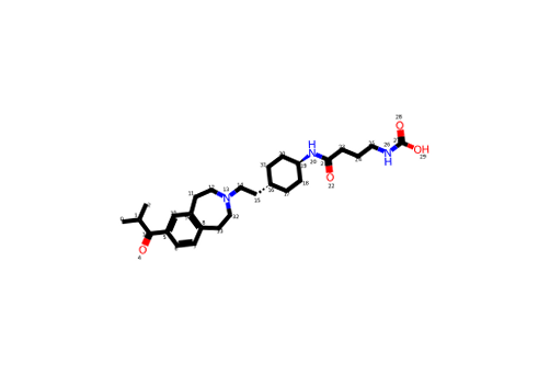 CC(C)C(=O)c1ccc2c(c1)CCN(CC[C@H]1CC[C@H](NC(=O)CCCNC(=O)O)CC1)CC2